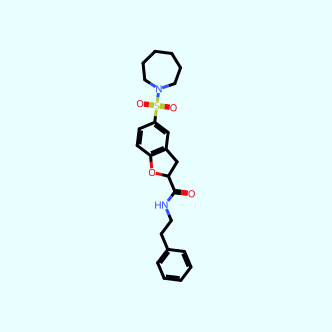 O=C(NCCc1ccccc1)C1Cc2cc(S(=O)(=O)N3CCCCCC3)ccc2O1